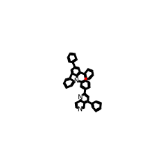 c1ccc(-c2cc(-c3ccccc3)c3c(c2)c2ccccc2n3-c2cccc(-c3cc(-c4ccccc4)c4cnccc4n3)c2)cc1